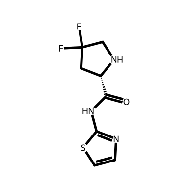 O=C(Nc1nccs1)[C@@H]1CC(F)(F)CN1